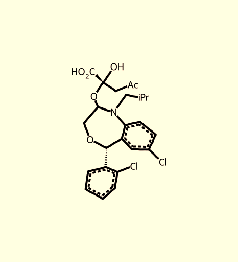 CC(=O)C[C@@](O)(OC1CO[C@@H](c2ccccc2Cl)c2cc(Cl)ccc2N1CC(C)C)C(=O)O